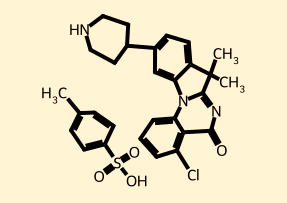 CC1(C)c2ccc(C3CCNCC3)cc2-n2c1nc(=O)c1c(Cl)cccc12.Cc1ccc(S(=O)(=O)O)cc1